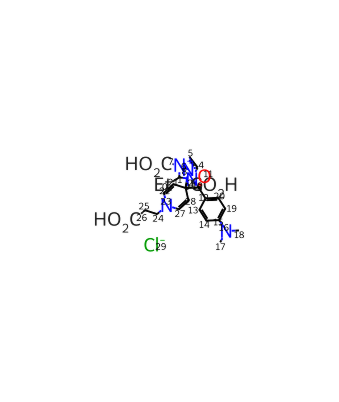 CCC1N(C(=O)O)C2=C[N+]1(C(=O)O)N2C1(C(=O)c2ccc(N(C)C)cc2)C=CN(CCC(=O)O)C=C1.[Cl-]